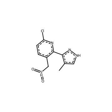 Cc1c[nH]nc1-c1nc(Cl)ccc1C[SH](=O)=O